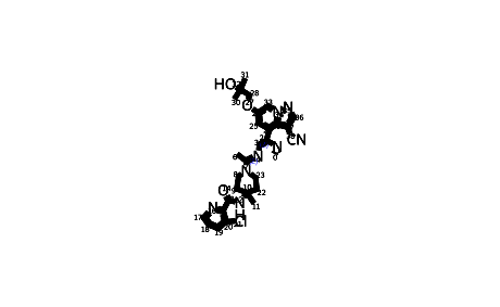 C=N/C(=C\N=C(/C)N1CCC(C)(NC(=O)c2ncccc2Cl)CC1)c1cc(OCC(C)(C)O)cn2ncc(C#N)c12